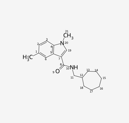 Cc1ccc2c(c1)c(C(=O)NCC1CCCCCC1)cn2C